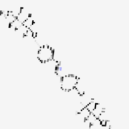 FC(F)(F)C(F)(F)C(F)(F)C(F)(F)COc1ccc(/N=N/c2ccc(COC(F)(F)C(F)(F)C(F)(F)C(F)(F)F)cc2)cc1